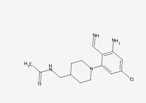 CC(=O)NCC1CCN(c2cc(Cl)cc(N)c2C=N)CC1